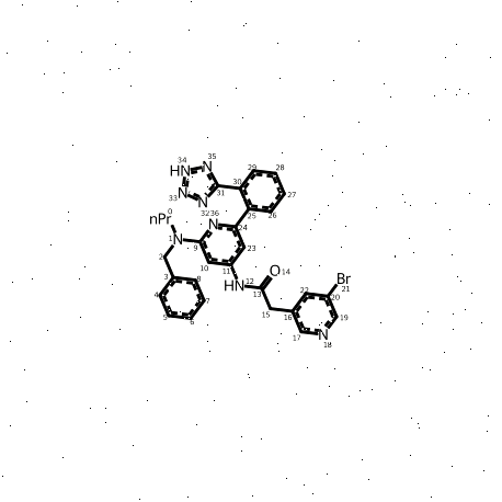 CCCN(Cc1ccccc1)c1cc(NC(=O)Cc2cncc(Br)c2)cc(-c2ccccc2-c2nn[nH]n2)n1